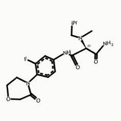 CC(C)CN(C)[C@@H](C(N)=O)C(=O)Nc1ccc(N2CCOCC2=O)c(F)c1